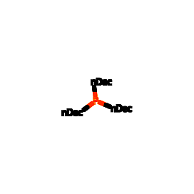 CCCCCCCCCCP(CCCCCCCCCC)CCCCCCCCCC